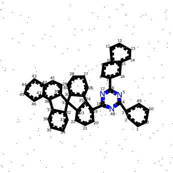 c1ccc(-c2nc(-c3ccc4ccccc4c3)nc(-c3cccc4c3-c3ccccc3C43c4ccccc4-c4c3ccc3ccccc43)n2)cc1